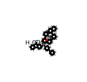 CC1(C)c2ccccc2-c2ccc(N(c3ccc(-c4ccccc4)cc3)c3ccc(-c4ccccc4-n4c5ccccc5c5cccc(-c6cccc7ccccc67)c54)cc3)cc21